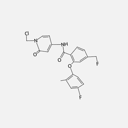 Cc1cc(F)ccc1Oc1cc(CF)ccc1C(=O)Nc1ccn(CCl)c(=O)c1